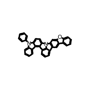 c1ccc(-n2c3ccccc3c3c4c5cccc6c7cc8c(cc7n(c4ccc32)c65)oc2ccccc28)cc1